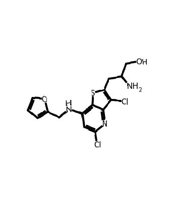 NC(CO)Cc1sc2c(NCc3ccco3)cc(Cl)nc2c1Cl